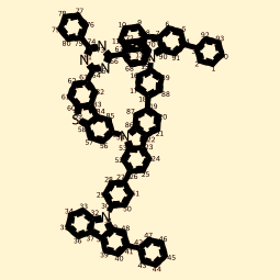 c1ccc(-c2ccc3c4ccccc4n(-c4ccc(-c5ccc6c7ccc(-c8ccc(-n9c%10ccccc%10c%10ccc(-c%11ccccc%11)cc%109)cc8)cc7n(-c7ccc8sc9ccc(-c%10nc(-c%11ccccc%11)nc(-c%11ccccc%11)n%10)cc9c8c7)c6c5)cc4)c3c2)cc1